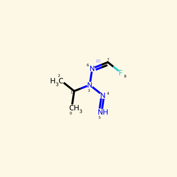 CC(C)N(N=N)/N=C\F